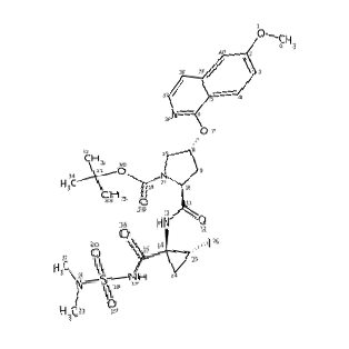 COc1ccc2c(O[C@@H]3C[C@@H](C(=O)N[C@]4(C(=O)NS(=O)(=O)N(C)C)C[C@H]4I)N(C(=O)OC(C)(C)C)C3)nccc2c1